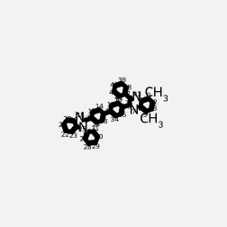 Cc1ccc(C)c2nc(-c3ccc(-c4ccc(-c5nc6ccccc6n5-c5ccccc5)cc4)cc3)c(-c3ccccc3)nc12